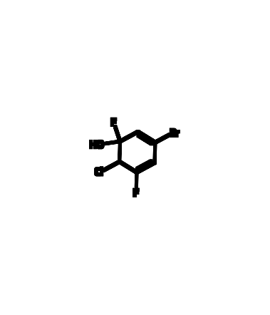 OC1(F)C=C(Br)C=C(F)C1Cl